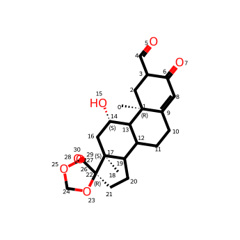 C[C@]12CC(C=O)C(=O)C=C1CCC1C2[C@@H](O)C[C@@]2(C)C1CC[C@@]21OCOC12COCO2